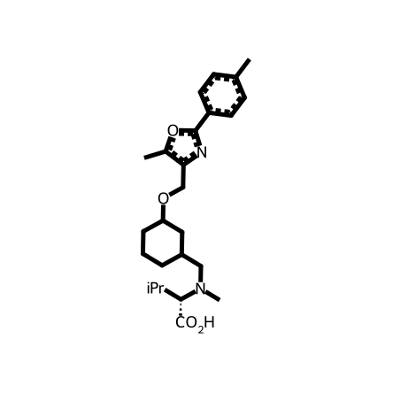 Cc1ccc(-c2nc(COC3CCCC(CN(C)[C@H](C(=O)O)C(C)C)C3)c(C)o2)cc1